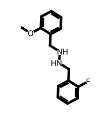 COc1ccccc1CNNCc1ccccc1F